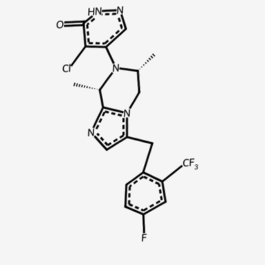 C[C@@H]1Cn2c(Cc3ccc(F)cc3C(F)(F)F)cnc2[C@H](C)N1c1cn[nH]c(=O)c1Cl